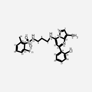 Bc1cnn2c(NCCCNS(=O)(=O)c3c(C)cccc3F)cc(-c3ccccc3Cl)nc12